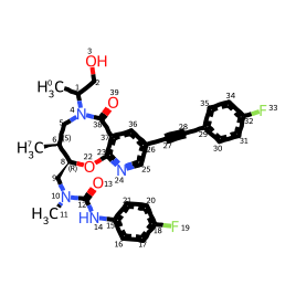 CC(CO)N1C[C@H](C)[C@H](CN(C)C(=O)Nc2ccc(F)cc2)Oc2ncc(C#Cc3ccc(F)cc3)cc2C1=O